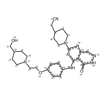 N#CCC1CCN(c2nc(Nc3ccc(OCCN4CCC(CO)CC4)cc3)c3c(=O)[nH]ncc3n2)CC1